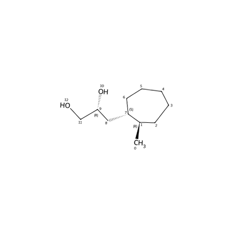 C[C@@H]1CCCCC[C@H]1C[C@@H](O)CO